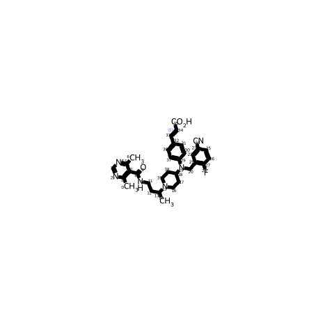 Cc1ncnc(C)c1C(=O)NCCC(C)N1CCC(N(Cc2cc(C#N)ccc2F)c2ccc(/C=C/C(=O)O)cc2)CC1